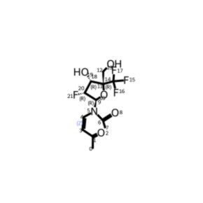 CC(=O)/C=C\N(C(C)=O)[C@@H]1O[C@@](CO)(C(F)(F)F)[C@@H](O)[C@H]1F